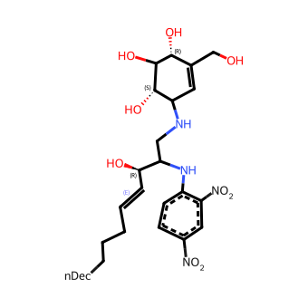 CCCCCCCCCCCCC/C=C/[C@@H](O)C(CNC1C=C(CO)[C@@H](O)C(O)[C@H]1O)Nc1ccc([N+](=O)[O-])cc1[N+](=O)[O-]